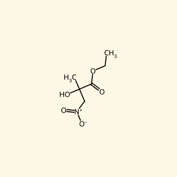 CCOC(=O)C(C)(O)C[N+](=O)[O-]